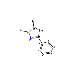 CC1N=C(c2ccccc2)S[C@@H]1C